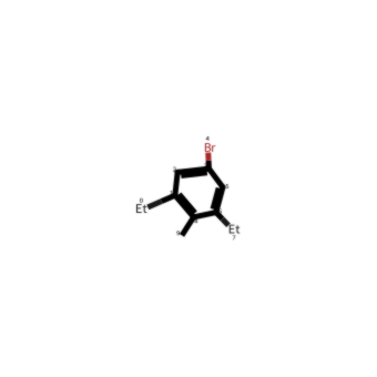 CCc1cc(Br)cc(CC)c1C